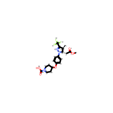 COC(=O)C[C@H]1[C@H](C)C(C(F)(F)F)=NN1c1ccc(OC2CCN(C(=O)O)CC2)cc1